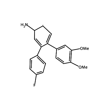 COc1ccc(C2=C[CH]C(N)C=C2c2ccc(F)cc2)cc1OC